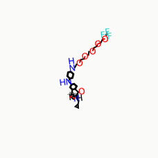 C[C@H]1[C@H]2C(=O)c3ccc(Nc4ccc(NCCOCCOCCOCCOCCOC(F)(F)F)cc4)cc3[C@]1(C)CCN2CC1CC1